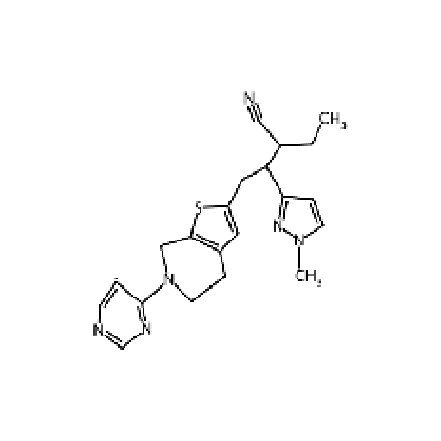 CCC(C#N)C(Cc1cc2c(s1)CN(c1[c]cncn1)CC2)c1ccn(C)n1